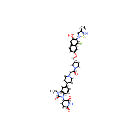 C=C1CN(c2c(O)cc3ccc(OC[C@@H]4CCN(C(=O)CN5CCC(c6ccc7c(c6)n(C)c(=O)n7C6CCC(=O)NC6=O)CC5)C4)cc3c2F)SN1